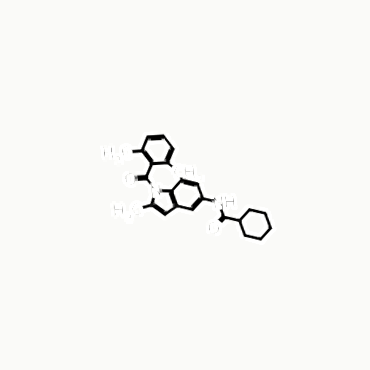 Cc1cccc(C)c1C(=O)n1c(C)cc2cc(NC(=O)C3CCCCC3)ccc21